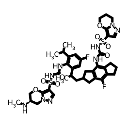 CN[C@H]1COc2c(S(=O)(=O)NC(=O)Nc3c(C(C)C)cc(F)cc3C(C)CC3Cc4c(F)c5c(c(NC(=O)NS(=O)(=O)c6cnn7c6OCCC7)c4C3)CCC5)cnn2C1